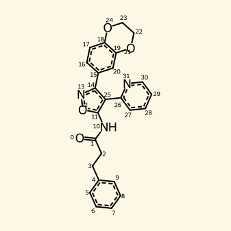 O=C(CCc1ccccc1)Nc1onc(-c2ccc3c(c2)OCCO3)c1-c1ccccn1